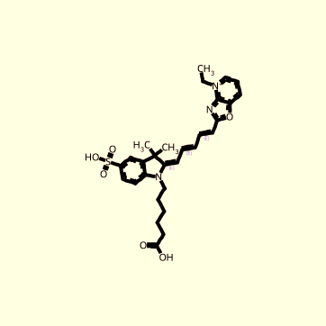 CC[n+]1cccc2oc(/C=C/C=C/C=C3/N(CCCCCC(=O)O)c4ccc(S(=O)(=O)O)cc4C3(C)C)nc21